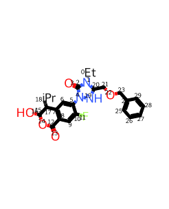 CCN1C(=O)N(c2cc3c(cc2F)C(=O)OC(O)C3C(C)C)NC1COCc1ccccc1